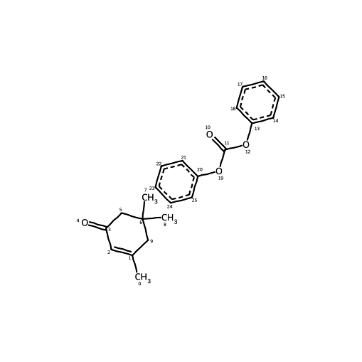 CC1=CC(=O)CC(C)(C)C1.O=C(Oc1ccccc1)Oc1ccccc1